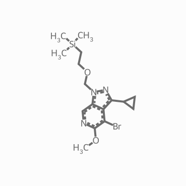 COc1ncc2c(c(C3CC3)nn2COCC[Si](C)(C)C)c1Br